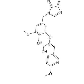 COc1ccc(C[C@@H](CO)Oc2cc(Cn3cnc4cccnc43)cc(OC)c2O)cn1